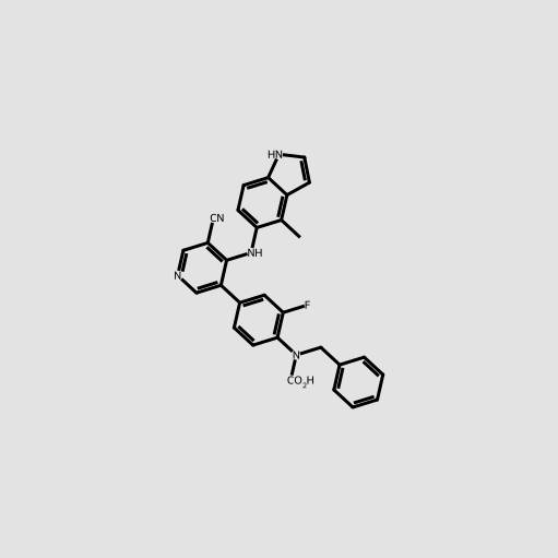 Cc1c(Nc2c(C#N)cncc2-c2ccc(N(Cc3ccccc3)C(=O)O)c(F)c2)ccc2[nH]ccc12